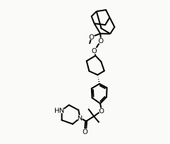 COC1(OO[C@H]2CC[C@@H](c3ccc(OC(C)(C)C(=O)N4CCNCC4)cc3)CC2)C2CC3CC(C2)CC1C3